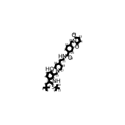 CC(C)(C)Cc1c(SC(C)(C)C)[nH]c2c(CN3CCC(CCNC(=O)C4CCC(CN5C(=O)C=CC5=O)CC4)CC3)c(O)ccc12